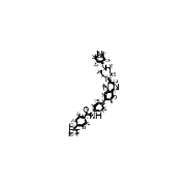 O=C(Nc1ccc(-c2ccc3ncc(N4CCN(c5ccncc5)CC4)nc3c2)cc1)c1ccc(C(F)(F)F)cc1